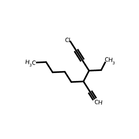 C#CC(CCCCC)C(C#CCl)CC